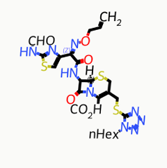 C=CCO/N=C(\C(=O)NC1C(=O)N2C(C(=O)O)=C(CSc3nnnn3CCCCCC)CS[C@H]12)c1csc(NC=O)n1